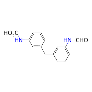 O=CNc1cccc(Cc2cccc(NC(=O)O)c2)c1